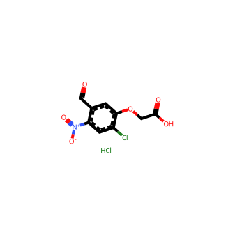 Cl.O=Cc1cc(OCC(=O)O)c(Cl)cc1[N+](=O)[O-]